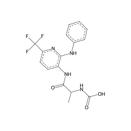 CC(NC(=O)O)C(=O)Nc1ccc(C(F)(F)F)nc1Nc1ccccc1